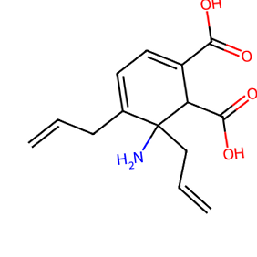 C=CCC1=CC=C(C(=O)O)C(C(=O)O)C1(N)CC=C